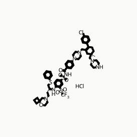 C[C@@]1(CN2CCNCC2)CCC(c2ccc(Cl)cc2)=C(CN2CCN(c3ccc(C(=O)NS(=O)(=O)c4ccc(N[C@H](CCN5CCOC6(CCC6)C5)CSc5ccccc5)c(S(=O)(=O)C(F)(F)F)c4)cc3)CC2)C1.Cl